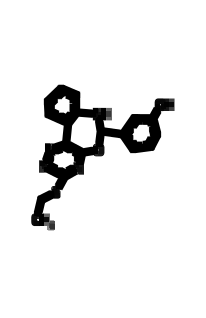 CCSc1nnc2c(n1)OC(c1cccc(O)c1)Nc1ccccc1-2